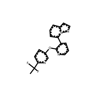 CC(F)(F)c1ccc(Oc2ncccc2-c2cccc3ccnn23)cn1